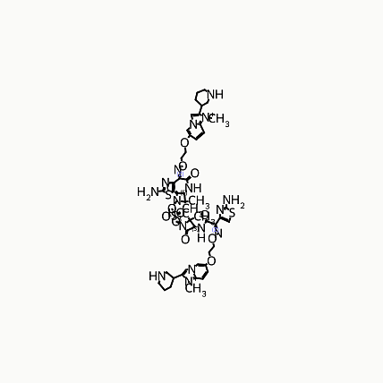 C[n+]1c(C2CCCNC2)cn2cc(OCCO/N=C(\C(=O)N[C@@H]3C(=O)N(OS(=O)(=O)ON4C(=O)[C@@H](NC(=O)/C(=N\OCCOc5ccc6n(c5)cc(C5CCCNC5)[n+]6C)c5csc(N)n5)C4(C)C)C3(C)C)c3csc(N)n3)ccc21